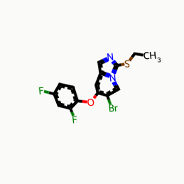 CCSc1ncc2cc(Oc3ccc(F)cc3F)c(Br)cn12